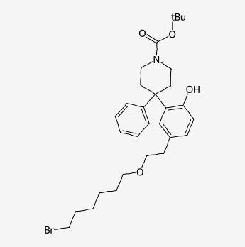 CC(C)(C)OC(=O)N1CCC(c2ccccc2)(c2cc(CCOCCCCCCBr)ccc2O)CC1